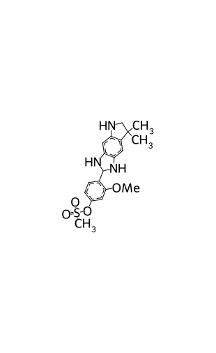 COc1cc(OS(C)(=O)=O)ccc1C1Nc2cc3c(cc2N1)C(C)(C)CN3